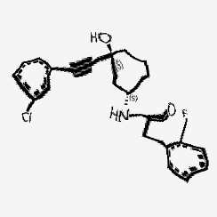 O=C(Cc1ccccc1F)N[C@H]1CCC[C@@](O)(C#Cc2cccc(Cl)c2)C1